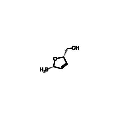 B[C@H]1C=C[C@@H](CO)O1